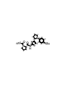 CCCC(=O)N1CCC[C@H]1C(=O)Nc1nc([C@@H]2CCCN2c2ccc(C(C)(C)C)cc2)cs1